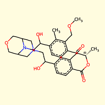 COCc1c(C=O)ccc(C(O)CN2C3COCC2CN(CC(O)c2ccc4c(c2)C[C@H](C)OC4=O)C3)c1C